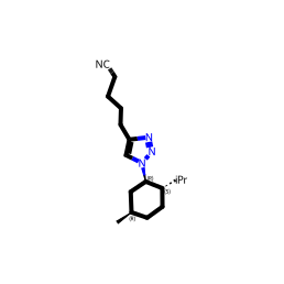 CC(C)[C@@H]1CC[C@@H](C)C[C@H]1n1cc(CCCCC#N)nn1